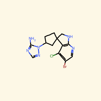 Nc1ncnn1C1CCC2(CNc3ncc(Br)c(Cl)c32)C1